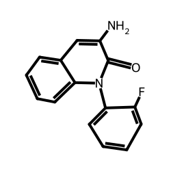 Nc1cc2ccccc2n(-c2ccccc2F)c1=O